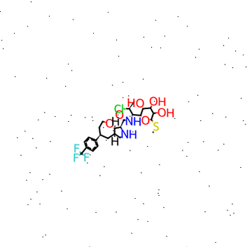 CSC1OC([C@H](NC(=O)[C@H]2NC[C@@H]3C[C@@H](c4ccc(C(F)(F)F)cc4)CCO[C@H]32)[C@H](C)Cl)C(O)C(O)C1O